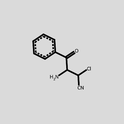 N#CC(Cl)C(N)C(=O)c1ccccc1